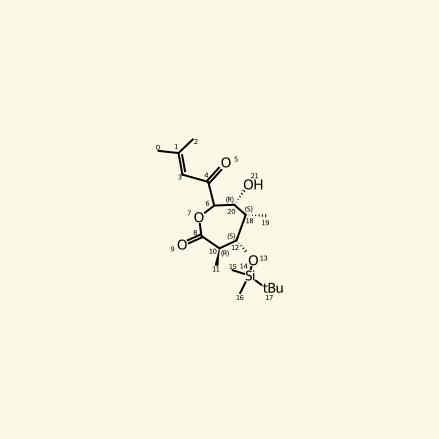 CC(C)=CC(=O)C1OC(=O)[C@H](C)[C@@H](O[Si](C)(C)C(C)(C)C)[C@@H](C)[C@H]1O